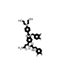 NC(=O)CC(NC(=O)[C@@H](N)Cc1ccc(F)c(F)c1)c1ccc2c(c1)nc(-c1ccc(N(CCO)CCO)cc1)n2Cc1ccc(F)c(F)c1